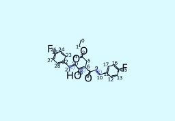 CCOC(=O)C/C(C(=O)/C=C/c1ccc(F)cc1)=C(O)\C=C\c1ccc(F)cc1